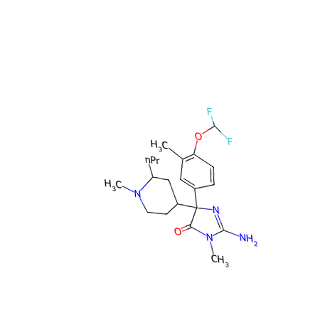 CCCC1CC(C2(c3ccc(OC(F)F)c(C)c3)N=C(N)N(C)C2=O)CCN1C